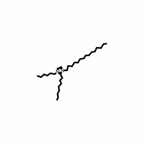 CCCCCCCCCCCCCCCn1cc[n+](CCCCCC)c1CCCCCCCC